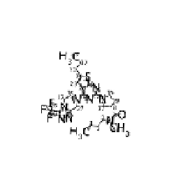 CCCCN(C)C(=O)[C@H]1CCN(c2nc(N3CCn4c(nnc4C(F)(F)F)C3)c3cc(CCC)sc3n2)C1